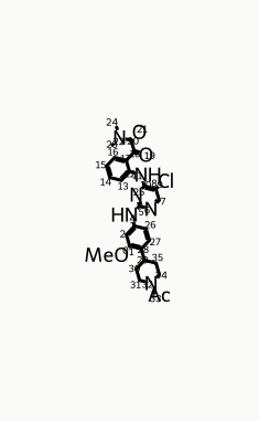 COc1cc(Nc2ncc(Cl)c(Nc3ccccc3C(=O)C(=O)N(C)C)n2)ccc1C1CCN(C(C)=O)CC1